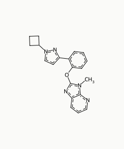 Cn1c(Oc2ccccc2-c2ccn(C3CCC3)n2)nc2cccnc21